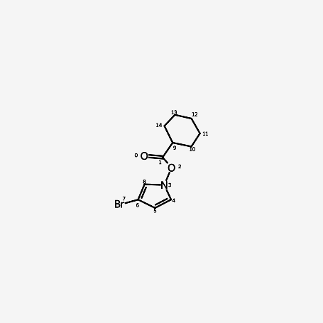 O=C(On1ccc(Br)c1)C1CCCCC1